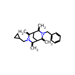 C=C1C2CC(C(=C)N1Cc1ccccc1)C(=C)N(CC1CC1)C2=C